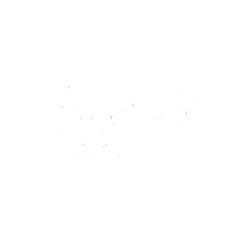 Cc1ccccc1-c1[nH]c2c(-c3nc4cc(N5CCNC6(CC6)C5)ccc4[nH]3)c(=O)[nH]c(C)c2c1C#N